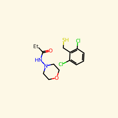 CCC(=O)NN1CCOCC1.SCc1c(Cl)cccc1Cl